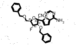 N#C[C@@]1(c2ccc3c(N)ncnn23)O[C@H](COCc2ccccc2)[C@@H](F)[C@H]1OCc1ccccc1